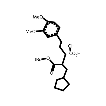 COc1ccc(CCCC(CC2CCCC2)C(=O)OC(C)(C)C)cc1OC.O=C(O)O